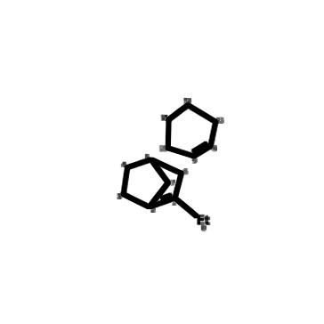 [CH2]CC1=C2CCC(C1)C2.[C]1=CCCCC1